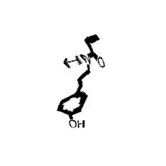 C=CC(=O)NCCc1ccc(O)cc1